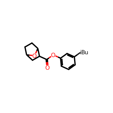 CCC(C)c1cccc(OC(=O)C2CC3CCC2O3)c1